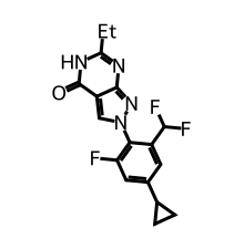 CCc1nc2nn(-c3c(F)cc(C4CC4)cc3C(F)F)cc2c(=O)[nH]1